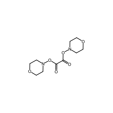 O=C(ON1CCOCC1)C(=O)ON1CCOCC1